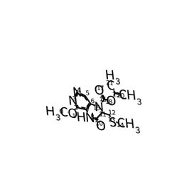 COc1nncc2c1NC(=O)C(CSC)N2C(=O)OC(C)C